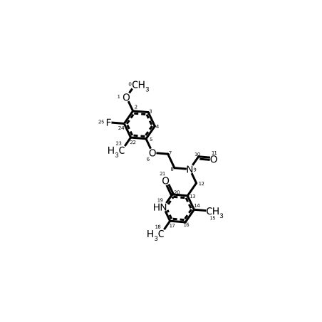 COc1ccc(OCCN(C=O)Cc2c(C)cc(C)[nH]c2=O)c(C)c1F